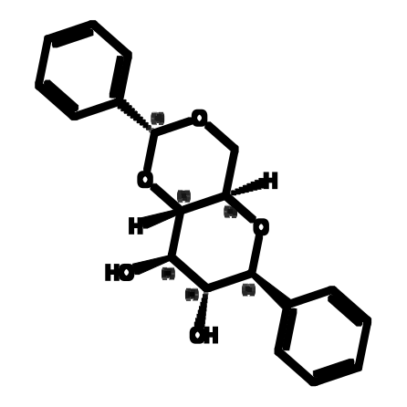 O[C@@H]1[C@@H](O)[C@H](c2ccccc2)O[C@@H]2CO[C@@H](c3ccccc3)O[C@@H]12